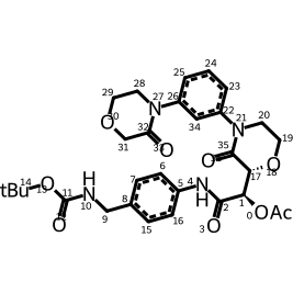 CC(=O)O[C@@H](C(=O)Nc1ccc(CNC(=O)OC(C)(C)C)cc1)[C@H]1OCCN(c2cccc(N3CCOCC3=O)c2)C1=O